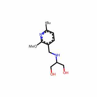 COc1nc(C(C)(C)C)ccc1CNC(CO)CO